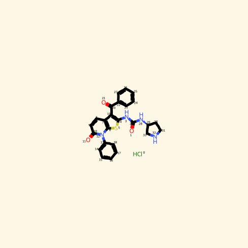 Cl.O=C(Nc1sc2c(ccc(=O)n2-c2ccccc2)c1C(=O)c1ccccc1)N[C@H]1CCNC1